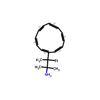 CCC(C)(C1=C/C=C\C=C/C=C\C=C/C=C\1)C(C)(C)N